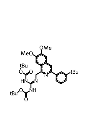 COc1cc2cc(-c3cccc(C(C)(C)C)c3)nc(CN=C(NC(=O)OC(C)(C)C)NC(=O)OC(C)(C)C)c2cc1OC